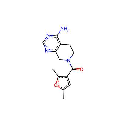 Cc1cc(C(=O)N2CCc3c(N)ncnc3C2)c(C)o1